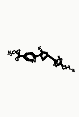 COC(=O)c1ccc(-c2ccc(-c3noc(C)n3)cc2F)nc1